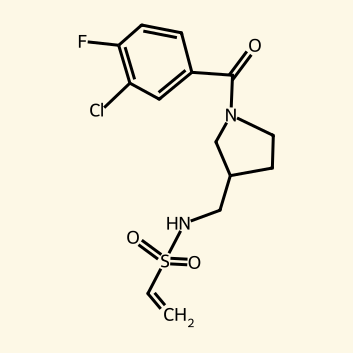 C=CS(=O)(=O)NCC1CCN(C(=O)c2ccc(F)c(Cl)c2)C1